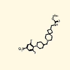 CCCCOC(=O)NCC1CC2(CCN(CC3CCN(c4c(F)cc([N+](=O)[O-])cc4F)CC3)CC2)C1